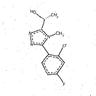 C[C@@H](O)c1nnc(-c2ccc(F)cc2Cl)n1C